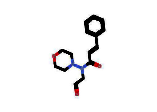 O=[C]CN(C(=O)C=Cc1ccccc1)N1CCOCC1